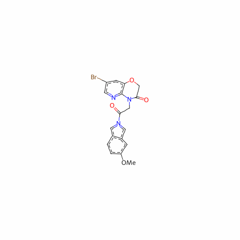 COc1ccc2cn(C(=O)CN3C(=O)COc4cc(Br)cnc43)cc2c1